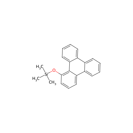 C[Si](C)(C)Oc1cccc2c3ccccc3c3ccccc3c12